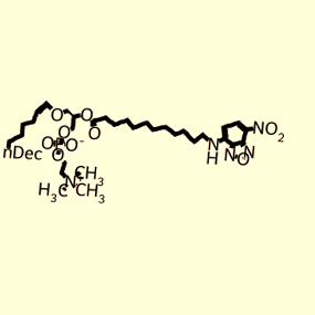 CCCCCCCCCCCCCC/C=C\OC[C@H](COP(=O)([O-])OCC[N+](C)(C)C)OC(=O)CCCCCCCCCCCNc1ccc([N+](=O)[O-])c2nonc12